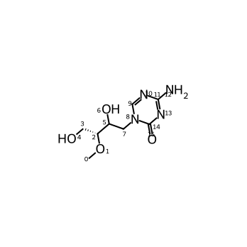 CO[C@H](CO)C(O)Cn1cnc(N)nc1=O